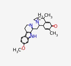 COc1ccc2c3c([nH]c2c1)C(CC(C1C=C(C)C(=O)C=C1C(C)C)N1CC1)=NCC3